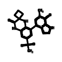 Cn1cc(-c2cc(S(C)(=O)=O)cc3c2NC2(CCC2)C(=O)N3)c2cc[nH]c2c1=O